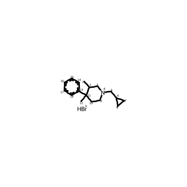 Br.CC1CN(CC2CC2)CCC1(C)c1ccccc1